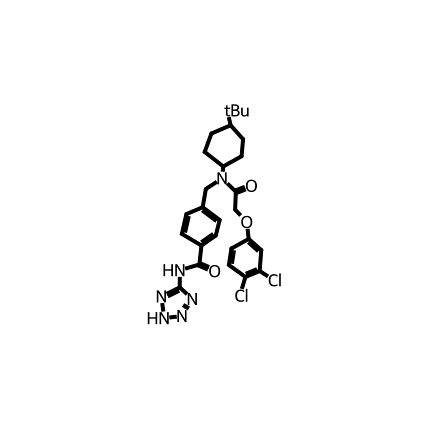 CC(C)(C)C1CCC(N(Cc2ccc(C(=O)Nc3nn[nH]n3)cc2)C(=O)COc2ccc(Cl)c(Cl)c2)CC1